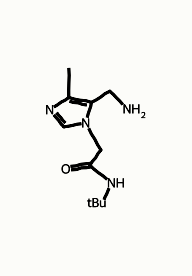 Cc1ncn(CC(=O)NC(C)(C)C)c1CN